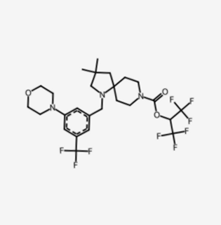 CC1(C)CN(Cc2cc(N3CCOCC3)cc(C(F)(F)F)c2)C2(CCN(C(=O)OC(C(F)(F)F)C(F)(F)F)CC2)C1